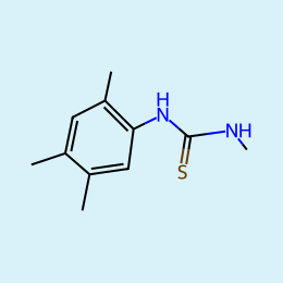 CNC(=S)Nc1cc(C)c(C)cc1C